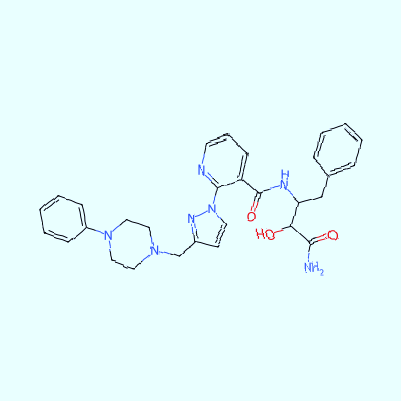 NC(=O)C(O)C(Cc1ccccc1)NC(=O)c1cccnc1-n1ccc(CN2CCN(c3ccccc3)CC2)n1